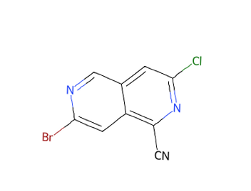 N#Cc1nc(Cl)cc2cnc(Br)cc12